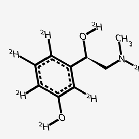 [2H]Oc1c([2H])c([2H])c([2H])c([C@H](CN([2H])C)O[2H])c1[2H]